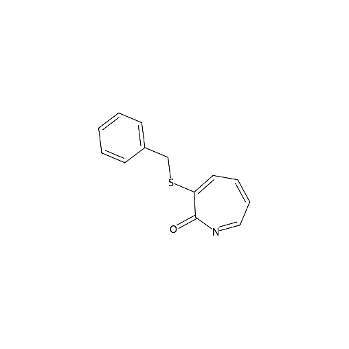 O=c1nccccc1SCc1ccccc1